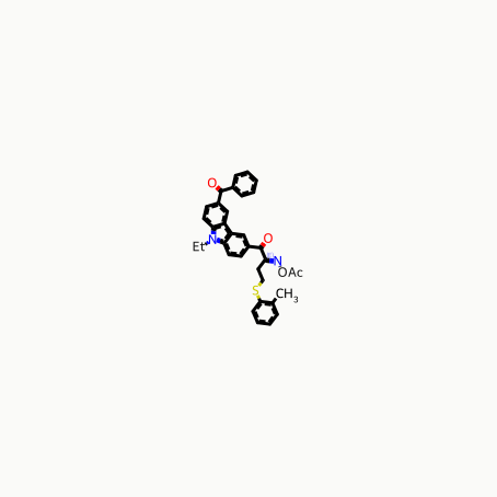 CCn1c2ccc(C(=O)/C(CCSc3ccccc3C)=N/OC(C)=O)cc2c2cc(C(=O)c3ccccc3)ccc21